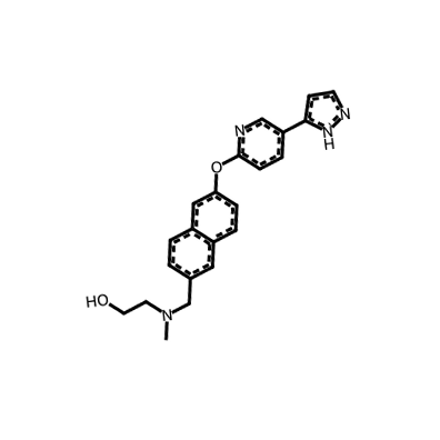 CN(CCO)Cc1ccc2cc(Oc3ccc(-c4ccn[nH]4)cn3)ccc2c1